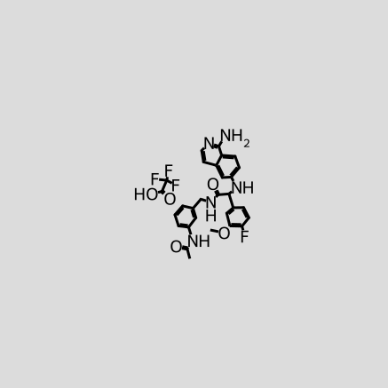 COc1cc(C(Nc2ccc3c(N)nccc3c2)C(=O)NCc2cccc(NC(C)=O)c2)ccc1F.O=C(O)C(F)(F)F